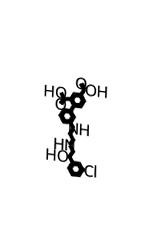 O=C(O)c1ccc(-c2cccc(NCCNC[C@H](O)c3cccc(Cl)c3)c2)c(C(=O)O)c1